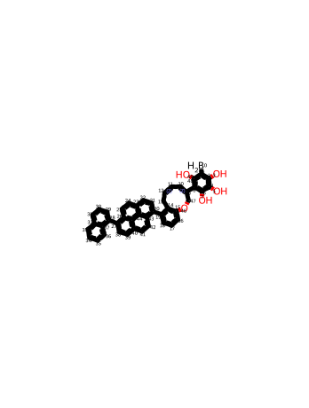 Bc1c(O)c(O)c(O)c(/C2=C/C=C\Cc3c(cccc3-c3ccc4ccc5c(-c6cccc7ccccc67)ccc6ccc3c4c65)OC2)c1O